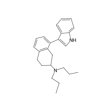 CCCN(CCC)C1CCc2cccc(-c3c[nH]c4ccccc34)c2C1